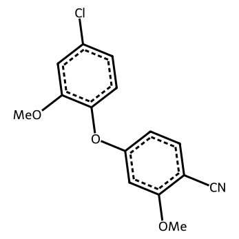 COc1cc(Oc2ccc(Cl)cc2OC)ccc1C#N